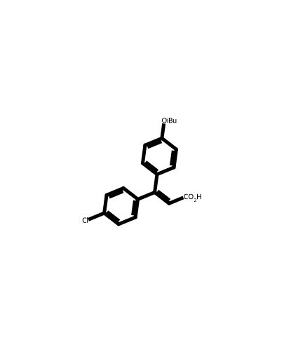 CC(C)COc1ccc(/C(=C\C(=O)O)c2ccc(Cl)cc2)cc1